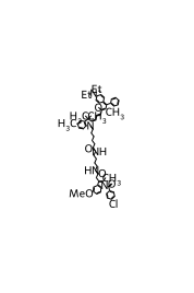 CC[N+](CC)=c1ccc2c(-c3ccccc3)c(C)c(/C=C/C=C3/N(CCCCCC(=O)NCCCCNC(=O)Cc4c(C)n(C(=O)c5ccc(Cl)cc5)c5ccc(OC)cc45)c4ccc(C)cc4C3(C)C)oc-2c1